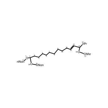 CCCCCCCCCOC(CCCCCCCCCC=CC(CCC)OOC)OCCCCCCCCC